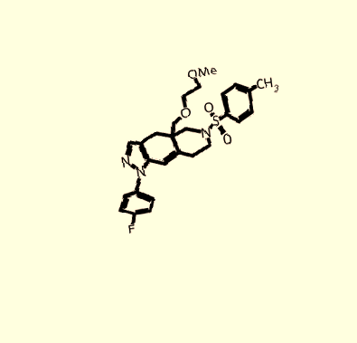 COCCOCC12Cc3cnn(-c4ccc(F)cc4)c3C=C1CCN(S(=O)(=O)c1ccc(C)cc1)C2